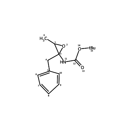 CC1OC1(Cc1ccccc1)NC(=O)OC(C)(C)C